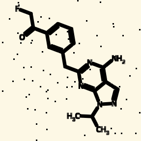 CC(C)n1ncc2c(N)nc(Cc3cccc(C(=O)CF)c3)nc21